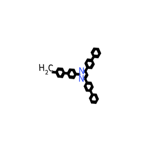 C=Cc1ccc(-c2ccc(-c3nc(-c4ccc(-c5ccccc5)cc4)cc(-c4ccc(-c5ccccc5)cc4)n3)cc2)cc1